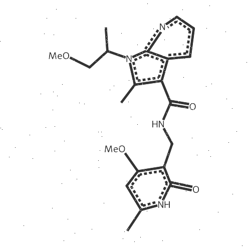 COCC(C)n1c(C)c(C(=O)NCc2c(OC)cc(C)[nH]c2=O)c2cccnc21